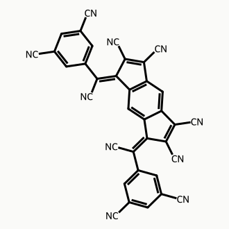 N#CC1=C(C#N)c2cc3c(cc2/C1=C(\C#N)c1cc(C#N)cc(C#N)c1)/C(=C(\C#N)c1cc(C#N)cc(C#N)c1)C(C#N)=C3C#N